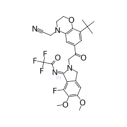 COc1cc2c(c(F)c1OC)/C(=N/C(=O)C(F)(F)F)N(CC(=O)c1cc3c(c(C(C)(C)C)c1)OCCN3CC#N)C2